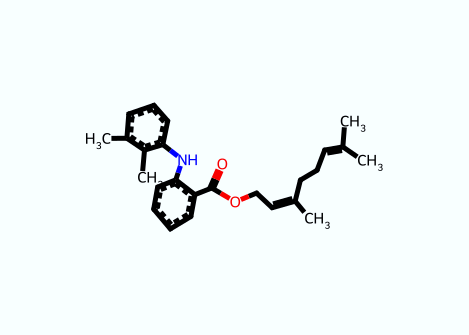 CC(C)=CCCC(C)=CCOC(=O)c1ccccc1Nc1cccc(C)c1C